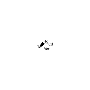 [Cd].[Mn].[Te]=[Hg]